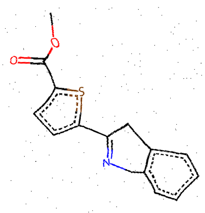 COC(=O)c1ccc(C2=Nc3ccccc3C2)s1